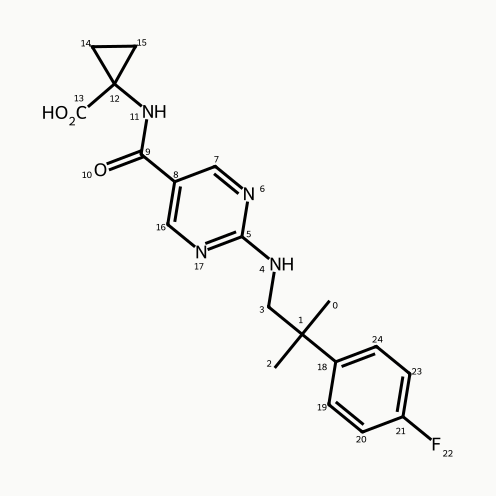 CC(C)(CNc1ncc(C(=O)NC2(C(=O)O)CC2)cn1)c1ccc(F)cc1